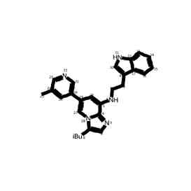 CCC(C)c1cnc2c(NCCc3c[nH]c4ccccc34)cc(-c3cncc(C)c3)cn12